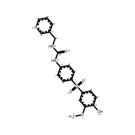 COc1cc(S(=O)(=O)c2ccc(NC(=O)NCc3cccnc3)cc2)ccc1O